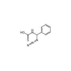 [N-]=[N+]=NC(NC(O)=S)c1ccccc1